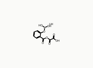 O=C(O)C(=O)OC(=O)c1ccccc1OB(O)O.[LiH]